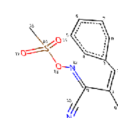 CC(=Cc1ccccc1)C(C#N)=NOS(C)(=O)=O